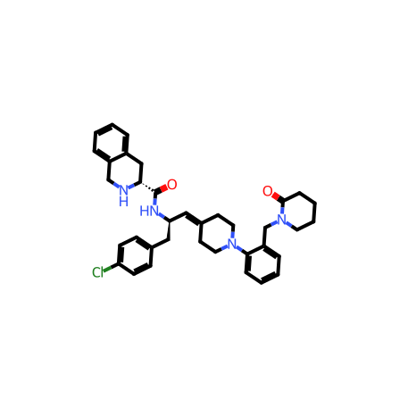 O=C(N[C@@H](C=C1CCN(c2ccccc2CN2CCCCC2=O)CC1)Cc1ccc(Cl)cc1)[C@H]1Cc2ccccc2CN1